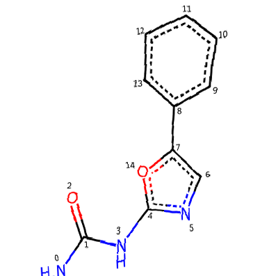 NC(=O)Nc1ncc(-c2ccccc2)o1